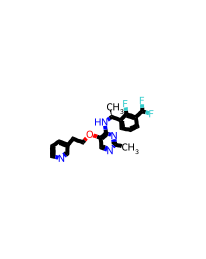 Cc1ncc(OCCc2cccnc2)c(N[C@H](C)c2cccc(C(F)F)c2F)n1